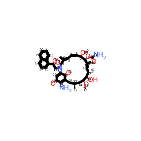 CO[C@H]1/C=C\C=C(/C)C(=O)N(CC(=O)c2cccc3ccccc23)C2=CC(=O)C(N)=C(C[C@H](C)C[C@H](OC)[C@H](O)[C@@H](C)/C=C(\C)[C@@H]1OC(N)=O)C2=O